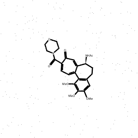 COc1cc2c(c(OC)c1OC)-c1ccc(C(=O)N3CCOCC3)c(=O)cc1[C@@H](NC(C)=O)CC2